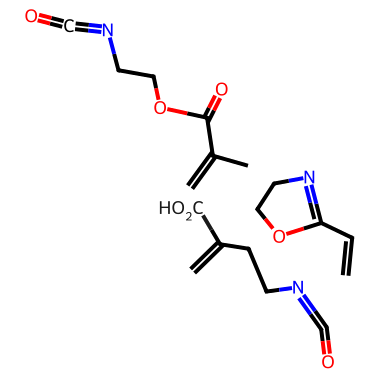 C=C(C)C(=O)OCCN=C=O.C=C(CCN=C=O)C(=O)O.C=CC1=NCCO1